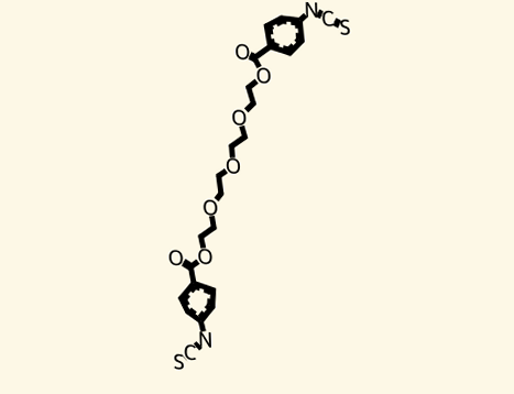 O=C(OCCOCCOCCOCCOC(=O)c1ccc(N=C=S)cc1)c1ccc(N=C=S)cc1